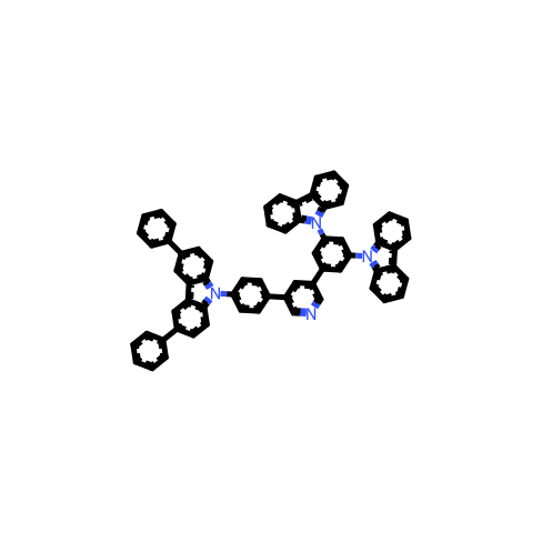 c1ccc(-c2ccc3c(c2)c2cc(-c4ccccc4)ccc2n3-c2ccc(-c3cncc(-c4cc(-n5c6ccccc6c6ccccc65)cc(-n5c6ccccc6c6ccccc65)c4)c3)cc2)cc1